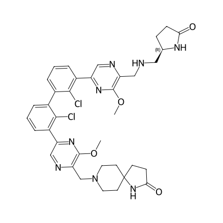 COc1nc(-c2cccc(-c3cccc(-c4cnc(CN5CCC6(CCC(=O)N6)CC5)c(OC)n4)c3Cl)c2Cl)cnc1CNC[C@H]1CCC(=O)N1